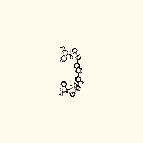 COC(=O)N[C@H](C(=O)N1CCC[C@H]1c1ncc(-c2ccc3cc(-c4ccc(-c5cnc([C@@H]6CCCN6C(=O)[C@H](NC(=O)OC)c6ccccc6)[nH]5)c(F)c4)ncc3c2)[nH]1)C1CCOCC1